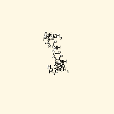 Cc1cc(NCc2ccc(NS(=O)(=O)C(C)(C)C)cc2)ccc1C(F)(F)F